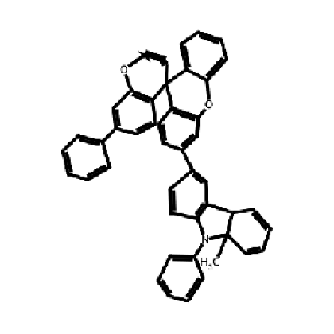 CC12C=CC=CC1c1cc(-c3ccc4c(c3)Oc3ccccc3C43c4ccccc4Oc4cc(-c5ccccc5)ccc43)ccc1N2c1ccccc1